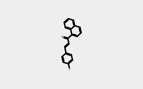 O=C(C=Cc1ccc(F)cc1)c1cccc2ccccc12